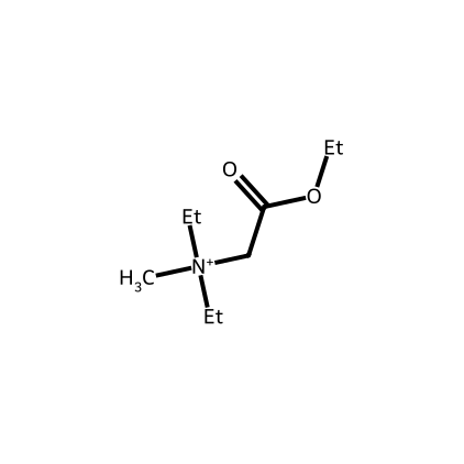 CCOC(=O)C[N+](C)(CC)CC